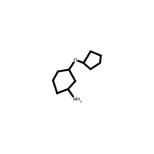 NC1CCCC(OC2CCCC2)C1